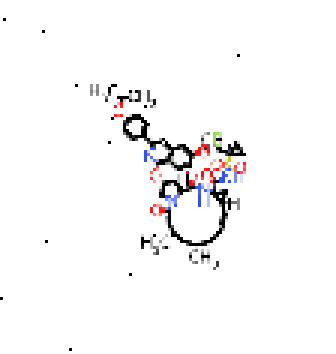 COc1ccc2c(O[C@@H]3C[C@H]4C(=O)N[C@]5(C(=O)NS(=O)(=O)C6(CF)CC6)C[C@H]5/C=C\CC[C@@H](C)C[C@@H](C)CC(=O)N4C3)nc(-c3ccc(OC(C)C)cc3)cc2c1